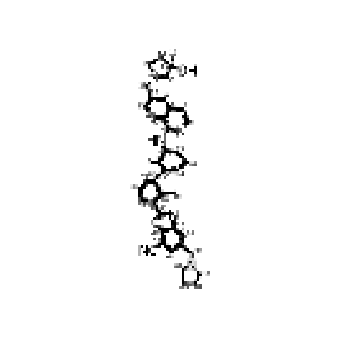 Cc1c(Nc2nccc3cc(CN4CC[C@](C)(O)C4)cnc23)cccc1-c1cccc(-c2nc3cc(CN4CCCC4)cc(C#N)c3o2)c1C